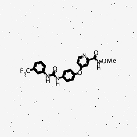 CONC(=O)c1cc(Oc2ccc(NC(=O)Nc3cccc(C(F)(F)F)c3)cc2)ccn1